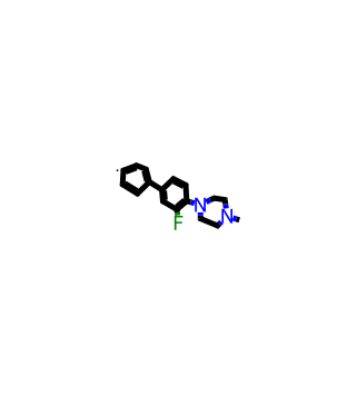 CN1CCN(c2ccc(-c3cc[c]cc3)cc2F)CC1